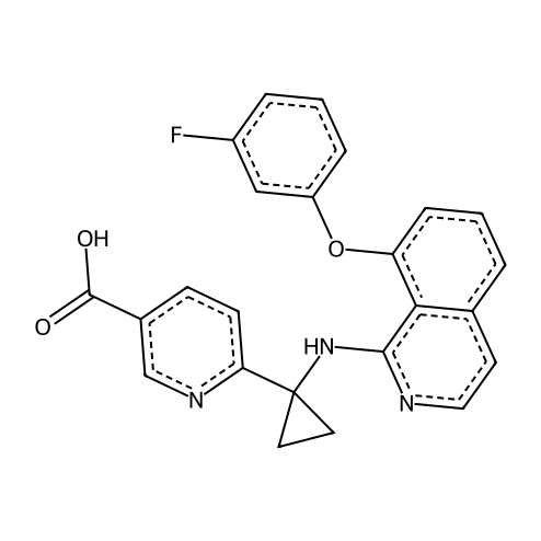 O=C(O)c1ccc(C2(Nc3nccc4cccc(Oc5cccc(F)c5)c34)CC2)nc1